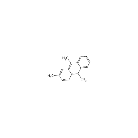 Cc1ccc2c(C)c3ccccc3c(C)c2c1